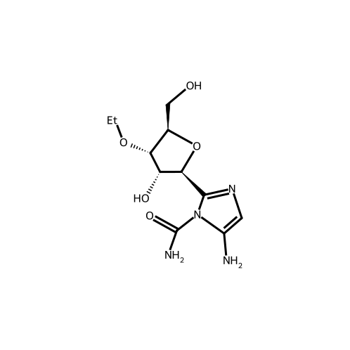 CCO[C@H]1[C@@H](O)[C@H](c2ncc(N)n2C(N)=O)O[C@@H]1CO